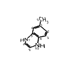 Cc1ccc2c(c1)NC=CN2